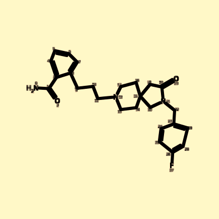 NC(=O)c1ccccc1[CH]CCN1CCC2(CC1)CC(=O)N(Cc1ccc(F)cc1)C2